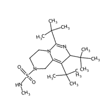 CNS(=O)(=O)N1CCN2C(C(C)(C)C)=NC(C(C)(C)C)C(C(C)(C)C)=C2C1